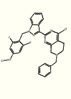 CCOc1cc(F)c(Cn2nc(-c3nc(Cl)c4c(n3)CN(Cc3ccccc3)CC4)c3ccccc32)c(F)c1